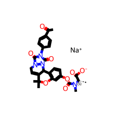 CC(=O)c1ccc(-n2c(=O)n3n(c2=O)C2C(=CC3)C(C)(C)Oc3cc(OC(=O)N(C)[C@@H](C)C(=O)[O-])ccc32)cc1.[Na+]